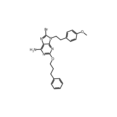 COc1ccc(CCn2c(Br)nc3c(N)nc(OCCCc4ccccc4)nc32)cc1